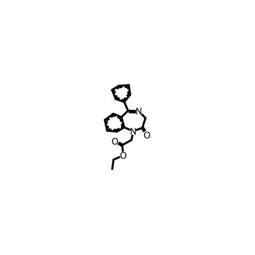 CCOC(=O)CN1C(=O)CN=C(c2ccccc2)c2ccccc21